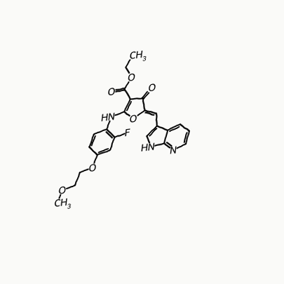 CCOC(=O)C1=C(Nc2ccc(OCCOC)cc2F)OC(=Cc2c[nH]c3ncccc23)C1=O